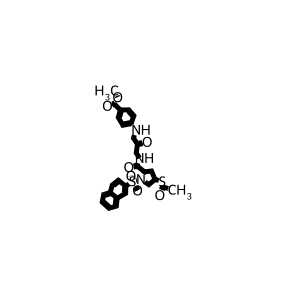 COC(=O)c1ccc(NCC(=O)CNC(=O)C2CC(SC(C)=O)CN2S(=O)(=O)c2ccc3ccccc3c2)cc1